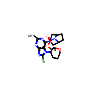 CSc1nc(N2CC3CCC(C2)N3C(=O)OC(C)(C)C)c2c(n1)nc(Br)n2C1CCCOC1